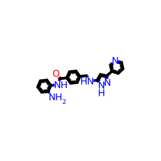 Nc1ccccc1NC(=O)c1ccc(CNc2cc(-c3cccnc3)n[nH]2)cc1